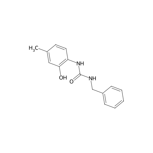 Cc1ccc(NC(=O)NCc2ccccc2)c(O)c1